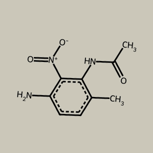 CC(=O)Nc1c(C)ccc(N)c1[N+](=O)[O-]